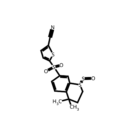 CC1(C)CCS(=S=O)c2cc(S(=O)(=O)c3ccc(C#N)s3)ccc21